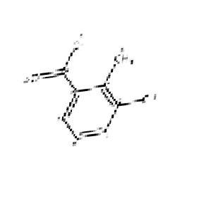 Cc1c(Cl)cccc1C([O])=O